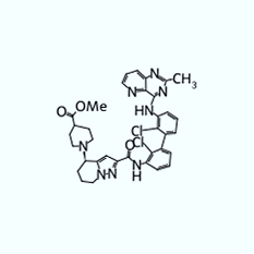 COC(=O)C1CCN([C@@H]2CCCn3nc(C(=O)Nc4cccc(-c5cccc(Nc6nc(C)nc7cccnc67)c5Cl)c4Cl)cc32)CC1